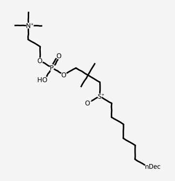 CCCCCCCCCCCCCCCC[S+]([O-])CC(C)(C)COP(=O)(O)OCC[N+](C)(C)C